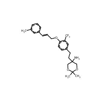 Cc1cccc(/C=C/COc2ccc(CCC3(N)COC(C)(C)OC3)cc2C(F)(F)F)c1